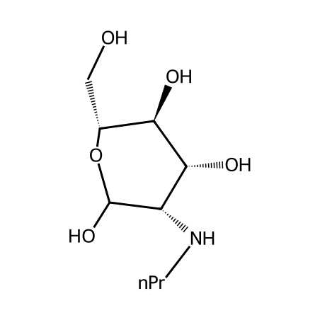 CCCN[C@@H]1C(O)O[C@H](CO)[C@@H](O)[C@@H]1O